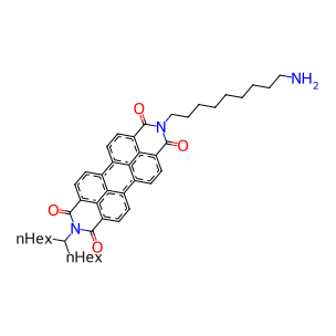 CCCCCCC(CCCCCC)N1C(=O)c2ccc3c4ccc5c6c(ccc(c7ccc(c2c37)C1=O)c64)C(=O)N(CCCCCCCCCN)C5=O